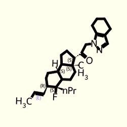 C/C=C/[C@H]1CC[C@H]2C3CC[C@H](C(=O)Cn4ncc5c4CCCC5)[C@@]3(C)CCC2[C@@]1(F)CCC